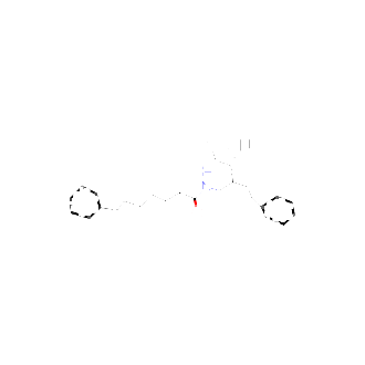 O=C(O)CCC(CCc1ccccc1)CNC(=O)CCCCCCc1ccccc1